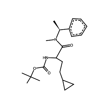 C[C@@H](c1ccccc1)N(C)C(=O)C(CCC1CC1)NC(=O)OC(C)(C)C